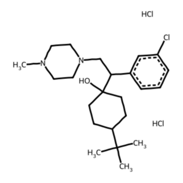 CN1CCN(CC(c2cccc(Cl)c2)C2(O)CCC(C(C)(C)C)CC2)CC1.Cl.Cl